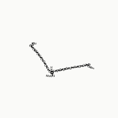 COC(=O)c1cc(OCCOCCOCCOCCOCCOCCOCCOCCOCCC(=O)OC(C)(C)C)c(O)c(OCCOCCOCCOCCOCCOCCOCCOCCOCCC(=O)OC(C)(C)C)c1